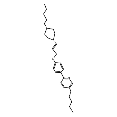 CCCCCc1cnc(-c2ccc(OC/C=C/[C@H]3CC[C@H](CCCCC)CC3)cc2)nc1